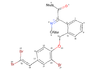 CNC(=O)/C(=N/OC)c1ccccc1COc1ccc(C=C(Br)Br)cc1Br